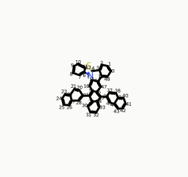 c1ccc(-c2nc3ccccc3s2)c(-c2ccc3c(-c4ccc5ccccc5c4)c4ccccc4c(-c4ccc5ccccc5c4)c3c2)c1